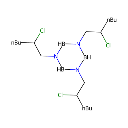 CCCCC(Cl)CN1BN(CC(Cl)CCCC)BN(CC(Cl)CCCC)B1